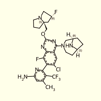 Cc1cc(N)nc(-c2c(Cl)cc3c(N4CC[C@@H]5CC[C@H](C4)N5)nc(OC[C@@]45CCCN4C[C@H](F)C5)nc3c2F)c1C(F)(F)F